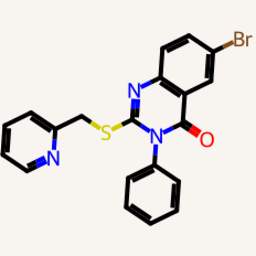 O=c1c2cc(Br)ccc2nc(SCc2ccccn2)n1-c1ccccc1